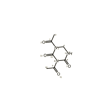 CC(=O)N1CNC(=O)N(C(C)=O)C1=O